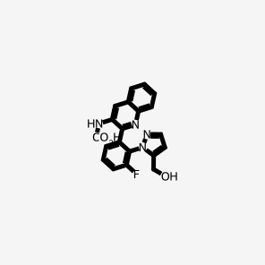 O=C(O)Nc1cc2ccccc2nc1-c1cccc(F)c1-n1nccc1CO